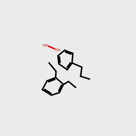 CCCc1ccccc1.CCc1ccccc1CC.OO